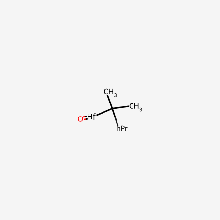 CCC[C](C)(C)[Hf]=[O]